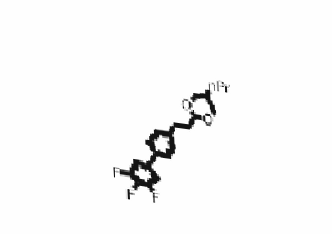 CCCC1COC(CCc2ccc(-c3cc(F)c(F)c(F)c3)cc2)OC1